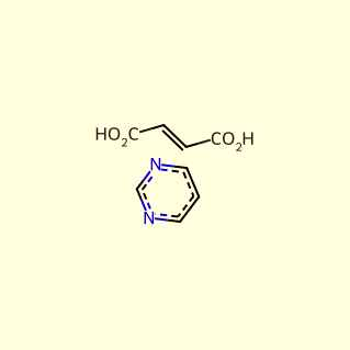 O=C(O)/C=C/C(=O)O.c1cncnc1